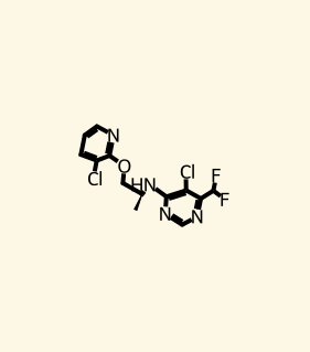 C[C@@H](COc1ncccc1Cl)Nc1ncnc(C(F)F)c1Cl